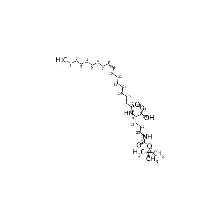 CCCCCCCC/C=C\CCCCCCCC(=O)N[C@@H](CCCNC(=O)OC(C)(C)C)C(=O)O